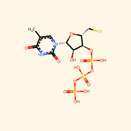 Cc1cn([C@@H]2O[C@H](CS)[C@@H](OP(=O)(O)OP(=O)(O)OP(=O)(O)O)[C@H]2O)c(=O)[nH]c1=O